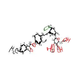 Cc1ccc2c(c1)CO[C@@H]2COc1ccc(Cc2cc([C@H]3C[C@@H](O)[C@H](O)[C@@H](CO)O3)ccc2Cl)cc1